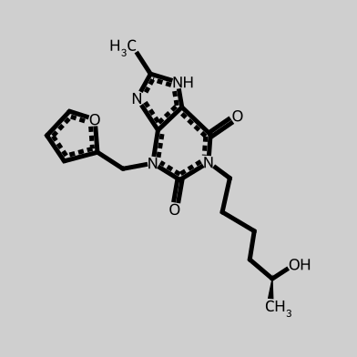 Cc1nc2c([nH]1)c(=O)n(CCCC[C@H](C)O)c(=O)n2Cc1ccco1